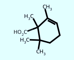 CC1=CCCC(C)(C)C1(C)C(=O)O